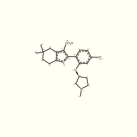 CN1CC[C@H](Oc2cc(C(F)(F)F)ccc2-c2sc3c(c2C(=O)O)CC(C)(C)CC3)C1